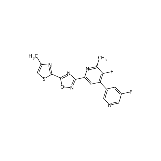 Cc1csc(-c2nc(-c3cc(-c4cncc(F)c4)c(F)c(C)n3)no2)n1